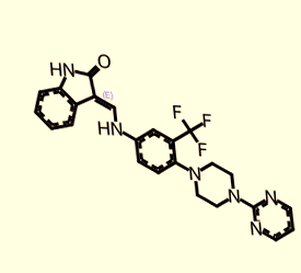 O=C1Nc2ccccc2/C1=C\Nc1ccc(N2CCN(c3ncccn3)CC2)c(C(F)(F)F)c1